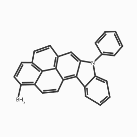 Bc1ccc2ccc3cc4c(c5ccc1c2c35)c1ccccc1n4-c1ccccc1